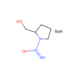 N=[N+]([O-])N1CCCC1CO.[NaH]